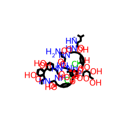 CNC(CC(C)C)C(=O)NC1C(=O)NC(CC(N)=O)C(=O)NC2C(=O)NC3C(=O)NC(C(=O)NC(C(C)=O)c4cc(O)cc(O)c4-c4cc3ccc4O)C(O)c3ccc(c(Cl)c3)Oc3cc2cc(c3OC2OC(CO)C(O)C(O)C2OC2CC(C)(N)C(O)C(C)O2)Oc2ccc(cc2Cl)C1O